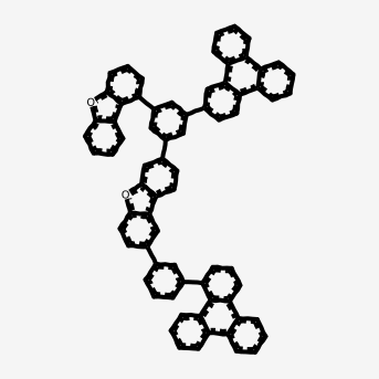 c1cc(-c2ccc3oc4cc(-c5cc(-c6ccc7c8ccccc8c8ccccc8c7c6)cc(-c6cccc7oc8ccccc8c67)c5)ccc4c3c2)cc(-c2cccc3c4ccccc4c4ccccc4c23)c1